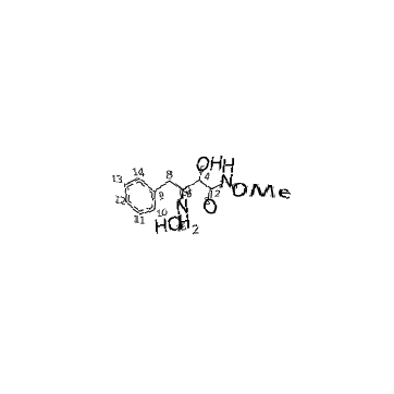 CONC(=O)C(O)[C@@H](N)Cc1ccccc1.Cl